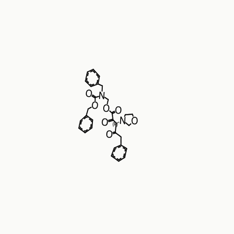 O=C(OCN(Cc1ccccc1)C(=O)OCc1ccccc1)C(=O)[C@@H](C(=O)Cc1ccccc1)N1CCOC1